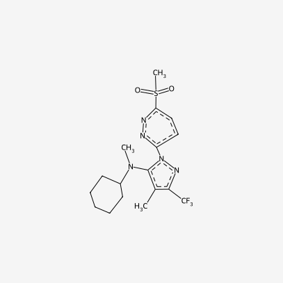 Cc1c(C(F)(F)F)nn(-c2ccc(S(C)(=O)=O)nn2)c1N(C)C1CCCCC1